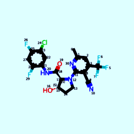 Cc1cc(C(F)(F)F)c(C#N)c(N2CC[C@H](O)[C@H]2C(=O)Nc2cc(Cl)c(F)cc2F)n1